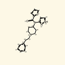 O=C(c1cccs1)N(c1cc[nH]n1)C1CCN(CCc2ccccc2)CC1